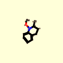 CCC(C)ON1c2ccccc2CCC1CC